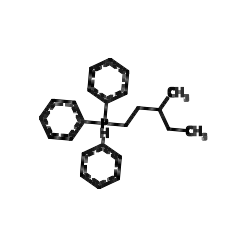 CCC(C)CC[PH](c1ccccc1)(c1ccccc1)c1ccccc1